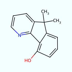 CC1(C)c2cccnc2-c2c(O)cccc21